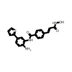 Nc1ccc(-c2cccs2)cc1NC(=O)c1ccc(/C=C/C(=O)NO)cc1